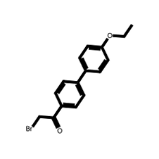 CCOc1ccc(-c2ccc(C(=O)CBr)cc2)cc1